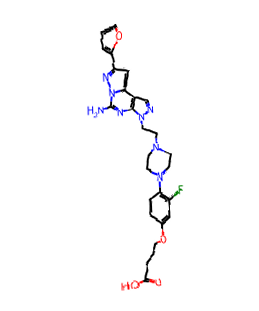 Nc1nc2c(cnn2CCN2CCN(c3ccc(OCCCC(=O)O)cc3F)CC2)c2cc(-c3ccco3)nn12